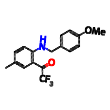 COc1ccc(CNc2ccc(C)cc2C(=O)C(F)(F)F)cc1